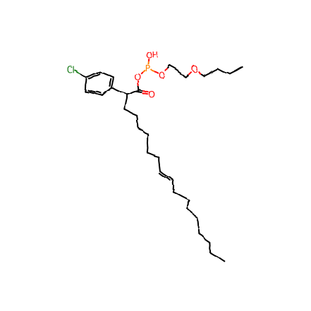 CCCCCCCCC=CCCCCCCC(C(=O)OP(O)OCCOCCCC)c1ccc(Cl)cc1